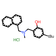 CN(Cc1ccc(C(C)(C)C)cc1O)Cc1cccc2ccccc12.Cl